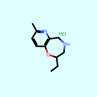 CCC1CNCc2nc(C)ccc2O1.Cl